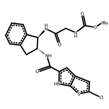 CC(C)(C)OC(=O)NCC(=O)N[C@@H]1c2ccccc2C[C@H]1NC(=O)c1cc2cc(Cl)sc2[nH]1